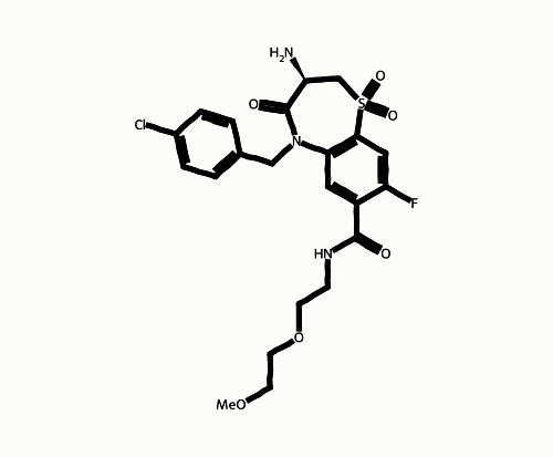 COCCOCCNC(=O)c1cc2c(cc1F)S(=O)(=O)C[C@H](N)C(=O)N2Cc1ccc(Cl)cc1